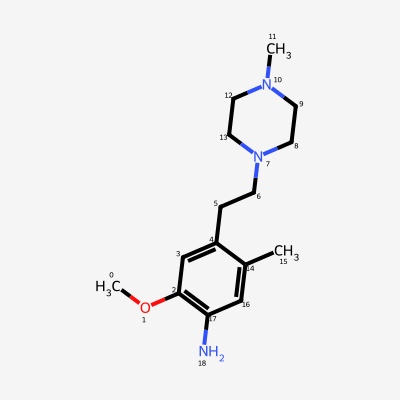 COc1cc(CCN2CCN(C)CC2)c(C)cc1N